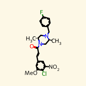 COc1cc(/C=C/C(=O)N2C[C@H](C)N(Cc3ccc(F)cc3)C[C@H]2C)cc([N+](=O)[O-])c1Cl